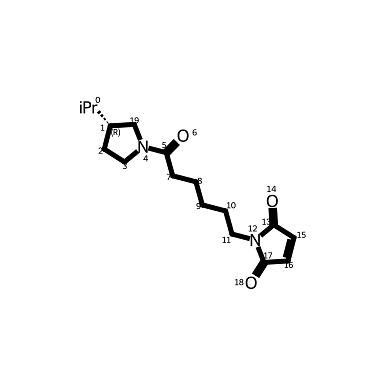 CC(C)[C@H]1CCN(C(=O)CCCCCN2C(=O)C=CC2=O)C1